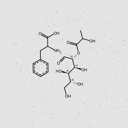 CC(O)C(=O)O[C@@H](C=O)[C@@H](O)[C@H](O)[C@H](O)CO.NC(Cc1ccccc1)C(=O)O